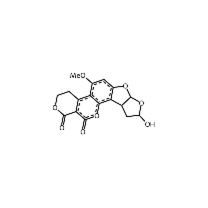 COc1cc2c(c3oc(=O)c4c(c13)CCOC4=O)C1CC(O)OC1O2